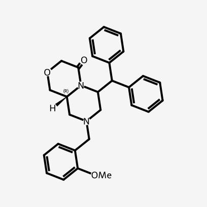 COc1ccccc1CN1CC(C(c2ccccc2)c2ccccc2)N2C(=O)COC[C@H]2C1